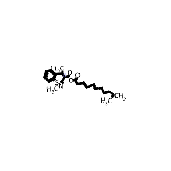 CSc1ccccc1/C(C)=C(\C#N)C(=O)OC(=O)CCCCCCCCC(C)C